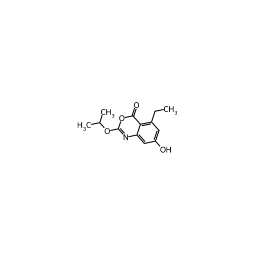 CCc1cc(O)cc2nc(OC(C)C)oc(=O)c12